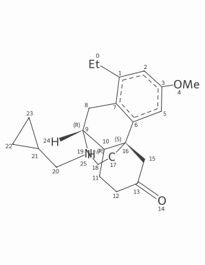 CCc1cc(OC)cc2c1C[C@@H]1[C@@H]3CCC(=O)C[C@]23CCN1CC1CC1